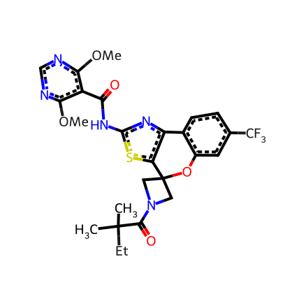 CCC(C)(C)C(=O)N1CC2(C1)Oc1cc(C(F)(F)F)ccc1-c1nc(NC(=O)c3c(OC)ncnc3OC)sc12